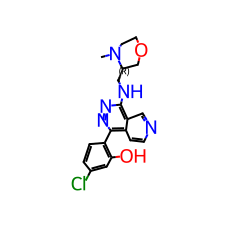 CN1CCOC[C@H]1CNc1nnc(-c2ccc(Cl)cc2O)c2ccncc12